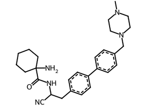 CN1CCN(Cc2ccc(-c3ccc(CC(C#N)NC(=O)C4(N)CCCCC4)cc3)cc2)CC1